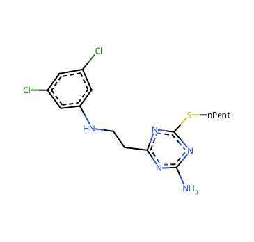 CCCCCSc1nc(N)nc(CCNc2cc(Cl)cc(Cl)c2)n1